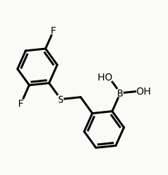 OB(O)c1ccccc1CSc1cc(F)ccc1F